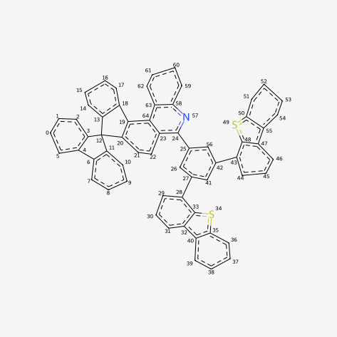 c1ccc2c(c1)-c1ccccc1C21c2ccccc2-c2c1ccc1c(-c3cc(-c4cccc5c4sc4ccccc45)cc(-c4cccc5c4sc4ccccc45)c3)nc3ccccc3c21